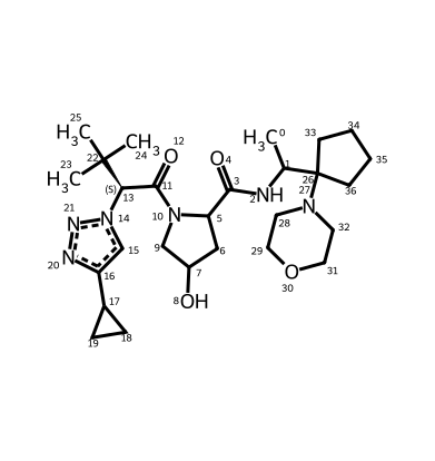 CC(NC(=O)C1CC(O)CN1C(=O)[C@@H](n1cc(C2CC2)nn1)C(C)(C)C)C1(N2CCOCC2)CCCC1